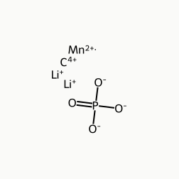 O=P([O-])([O-])[O-].[C+4].[Li+].[Li+].[Mn+2]